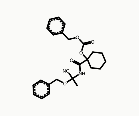 CC(C#N)(NC(=O)C1(OC(=O)OCc2ccccc2)CCCCC1)OCc1ccccc1